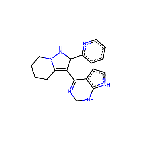 c1ccc(C2NN3CCCCC3=C2C2=NCNc3[nH]ccc32)nc1